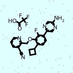 N#Cc1cccnc1COc1c(C2CCC2)ccc(-c2cnc(N)cn2)c1F.O=C(O)C(F)(F)F